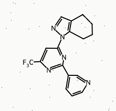 FC(F)(F)c1cc(-n2ncc3c2CCCC3)nc(-c2cccnc2)n1